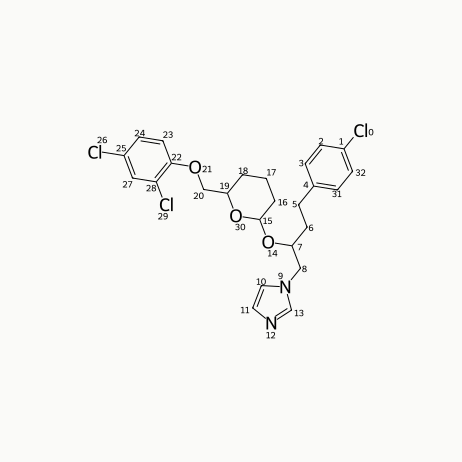 Clc1ccc(CCC(Cn2ccnc2)OC2CCCC(COc3ccc(Cl)cc3Cl)O2)cc1